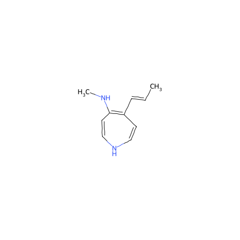 C/C=C/C1=C(NC)C=CNC=C1